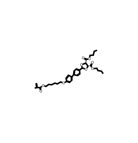 C=C(C)C(=O)OCCCCCCOc1ccc(-c2ccc(C3O[C@@H](C(=O)OCCCC)[C@H](C(=O)OCCCC)O3)cc2)cc1